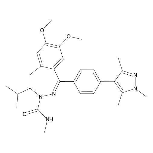 CNC(=O)N1N=C(c2ccc(-c3c(C)nn(C)c3C)cc2)c2cc(OC)c(OC)cc2CC1C(C)C